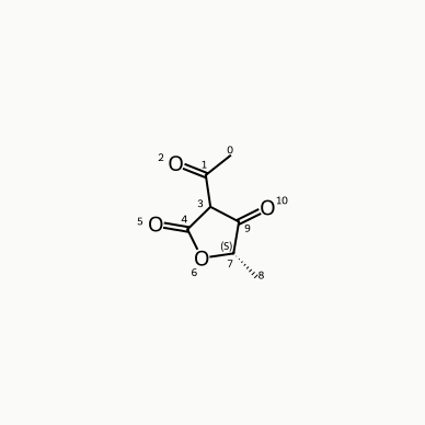 CC(=O)C1C(=O)O[C@@H](C)C1=O